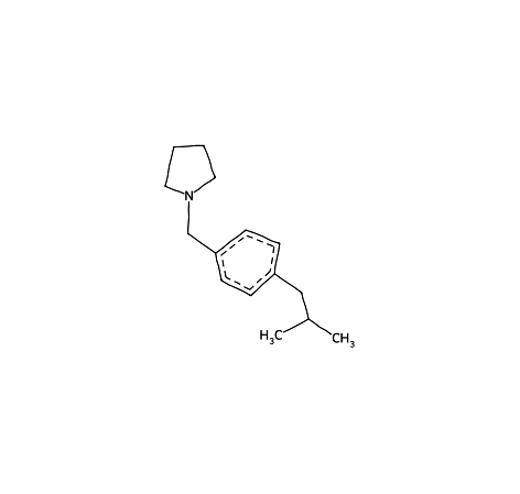 CC(C)Cc1ccc(CN2CCCC2)cc1